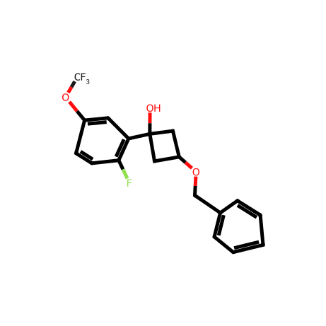 OC1(c2cc(OC(F)(F)F)ccc2F)CC(OCc2ccccc2)C1